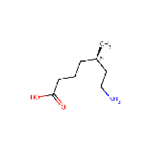 C[C@@H](CCN)CCCC(=O)O